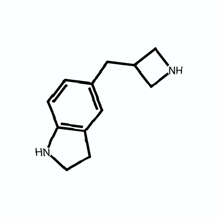 c1cc2c(cc1CC1CNC1)CCN2